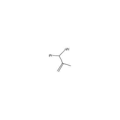 C=C(C)C(CCC)C(C)C